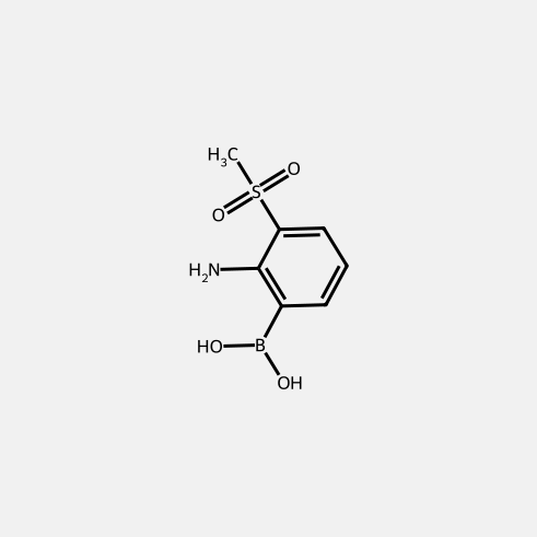 CS(=O)(=O)c1cccc(B(O)O)c1N